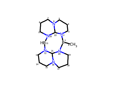 CB1N2CCCN3CCCN(BN4CCCN5CCCN1C45)C32